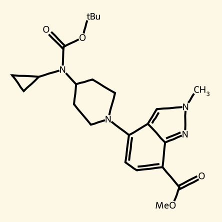 COC(=O)c1ccc(N2CCC(N(C(=O)OC(C)(C)C)C3CC3)CC2)c2cn(C)nc12